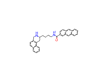 O=C(NCCCCC1Cc2c(ccc3ccccc23)CN1)c1ccc2cc3ccccc3cc2c1